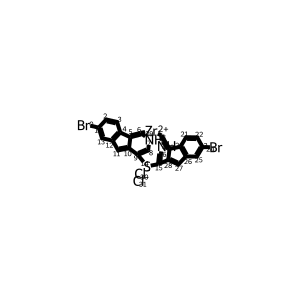 Brc1ccc2c3[c]4[nH]cc(c-3cc2c1)Sc1c[nH][c](c2c3ccc(Br)cc3cc1-2)[Zr+2]4.[Cl-].[Cl-]